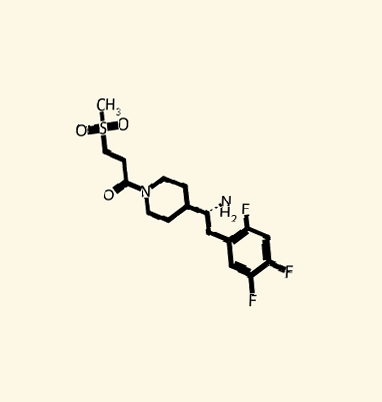 CS(=O)(=O)CCC(=O)N1CCC([C@H](N)Cc2cc(F)c(F)cc2F)CC1